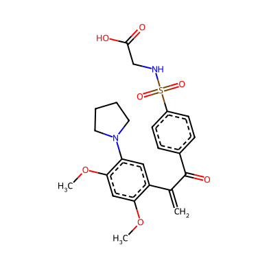 C=C(C(=O)c1ccc(S(=O)(=O)NCC(=O)O)cc1)c1cc(N2CCCC2)c(OC)cc1OC